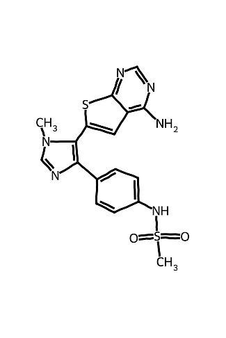 Cn1cnc(-c2ccc(NS(C)(=O)=O)cc2)c1-c1cc2c(N)ncnc2s1